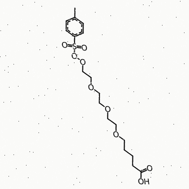 Cc1ccc(S(=O)(=O)OOCCOCCOCCOCCCCC(=O)O)cc1